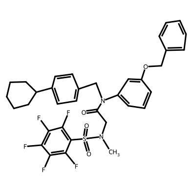 CN(CC(=O)N(Cc1ccc(C2CCCCC2)cc1)c1cccc(OCc2ccccc2)c1)S(=O)(=O)c1c(F)c(F)c(F)c(F)c1F